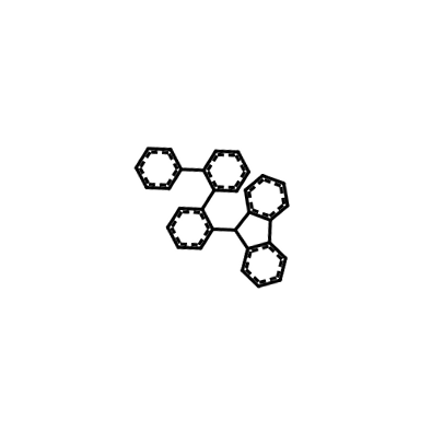 c1ccc(-c2ccccc2-c2ccccc2C2c3ccccc3-c3ccccc32)cc1